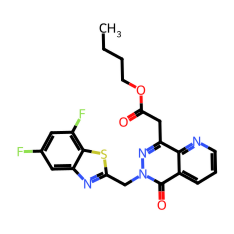 CCCCOC(=O)Cc1nn(Cc2nc3cc(F)cc(F)c3s2)c(=O)c2cccnc12